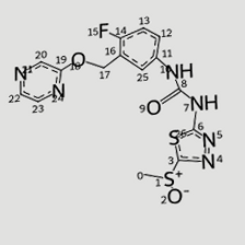 C[S+]([O-])c1nnc(NC(=O)Nc2ccc(F)c(COc3cnccn3)c2)s1